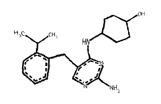 CC(C)c1ccccc1Cc1cnc(N)nc1NC1CCC(O)CC1